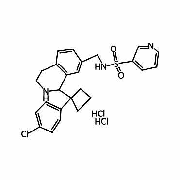 Cl.Cl.O=S(=O)(NCc1ccc2c(c1)C(C1(c3ccc(Cl)cc3)CCC1)NCC2)c1cccnc1